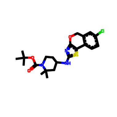 CC(C)(C)OC(=O)N1CCC(Nc2nc3c(s2)-c2ccc(Cl)cc2CO3)CC1(C)C